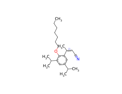 CCCCCCCOc1c(/C(C)=C\C#N)cc(C(C)C)cc1C(C)C